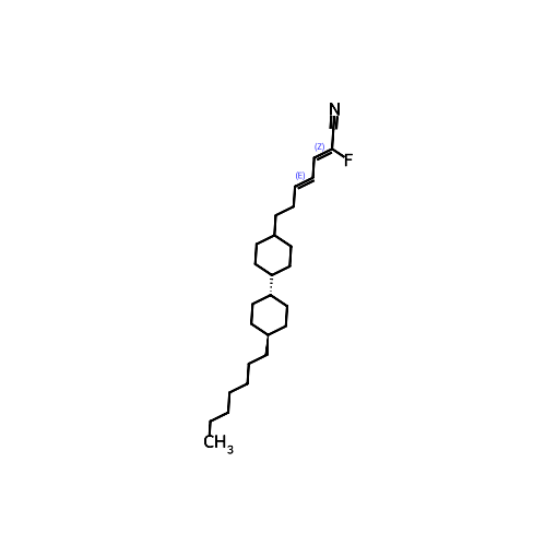 CCCCCCC[C@H]1CC[C@H](C2CCC(CC/C=C/C=C(\F)C#N)CC2)CC1